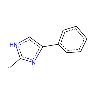 [CH2]c1nc(-c2ccccc2)c[nH]1